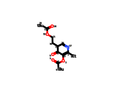 CCC1=C(OC(=O)C(C)(C)C)C(=O)C(CCOC(=O)C(C)(C)C)C=N1